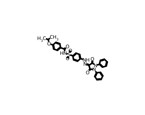 CC(C)Oc1ccc(C(=O)NS(=O)(=O)c2ccc(NN=C3C(=O)N(c4ccccc4)N(c4ccccc4)C3=O)cc2)cc1